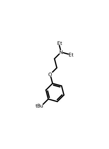 CCN(CC)CCOc1cccc(C(C)(C)C)c1